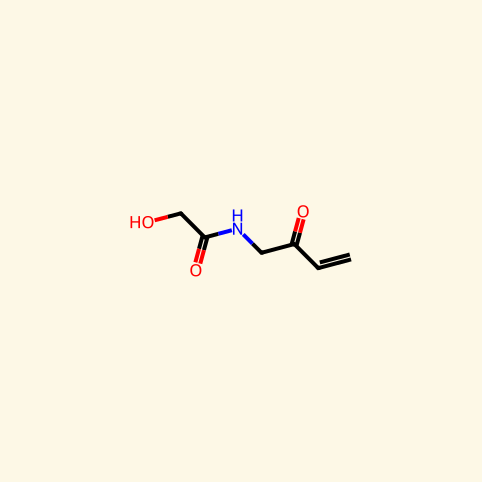 C=CC(=O)CNC(=O)CO